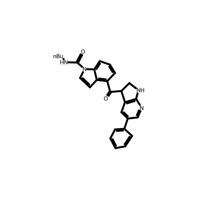 CCCCNC(=O)n1ccc2c(C(=O)C3CNc4ncc(-c5ccccc5)cc43)cccc21